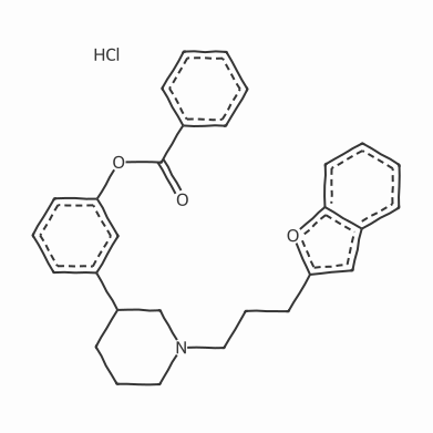 Cl.O=C(Oc1cccc(C2CCCN(CCCc3cc4ccccc4o3)C2)c1)c1ccccc1